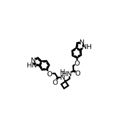 O=C(COc1ccc2cn[nH]c2c1)NCC1(NC(=O)COc2ccc3cn[nH]c3c2)CCC1